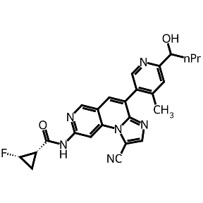 CCCC(O)c1cc(C)c(-c2cc3cnc(NC(=O)[C@@H]4C[C@@H]4F)cc3n3c(C#N)cnc23)cn1